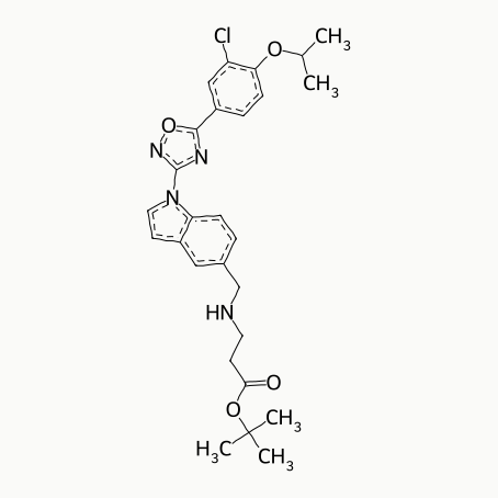 CC(C)Oc1ccc(-c2nc(-n3ccc4cc(CNCCC(=O)OC(C)(C)C)ccc43)no2)cc1Cl